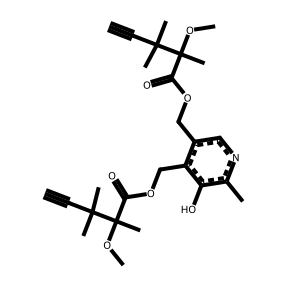 C#CC(C)(C)C(C)(OC)C(=O)OCc1cnc(C)c(O)c1COC(=O)C(C)(OC)C(C)(C)C#C